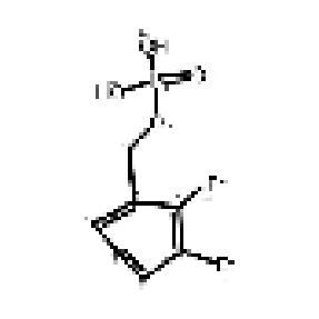 CCc1cccc(COP(=O)(O)O)c1C(C)C